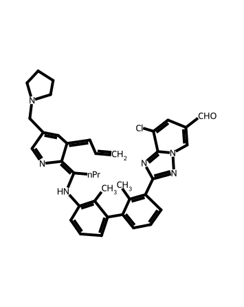 C=C/C=c1/cc(CN2CCCC2)cn/c1=C(/CCC)Nc1cccc(-c2cccc(-c3nc4c(Cl)cc(C=O)cn4n3)c2C)c1C